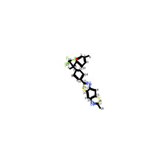 Cc1ccc(C(C)(c2ccc(-c3nc4cc5sc(C)nc5cc4s3)cc2)C(F)(F)F)cc1